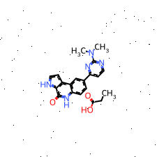 CCC(=O)O.CN(C)c1nccc(-c2ccc3[nH]c(=O)c4[nH]ccc4c3c2)n1